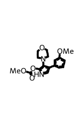 COC(=O)Oc1[nH]cc(-c2cccc(OC)c2)c1N1CCOCC1